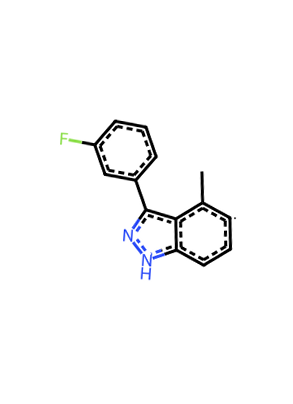 Cc1[c]ccc2[nH]nc(-c3cccc(F)c3)c12